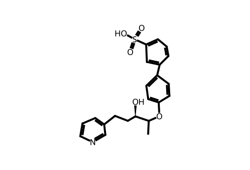 CC(Oc1ccc(-c2cccc(S(=O)(=O)O)c2)cc1)[C@H](O)CCc1cccnc1